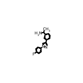 CC(N)c1cccc(-c2cnn(-c3ccc(F)cc3)c2)c1